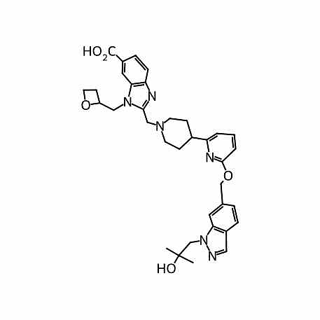 CC(C)(O)Cn1ncc2ccc(COc3cccc(C4CCN(Cc5nc6ccc(C(=O)O)cc6n5CC5CCO5)CC4)n3)cc21